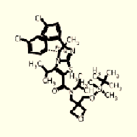 CC(C)C1=C(C(=O)N(CC2(CO[Si](C)(C)C(C)(C)C)COC2)C(C)C)SC2=N[C@@](C)(c3ccc(Cl)cc3)[C@@H](c3ccc(Cl)cc3)N21